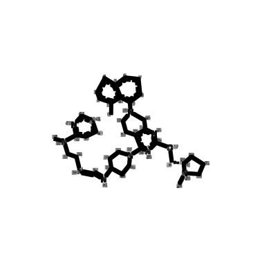 Cc1cccc2cccc(N3CCc4c(nc(OC[C@@H]5CCCN5C)nc4N4CCC(N=C=NCCN(C)c5ccncn5)CC4)C3)c12